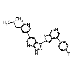 CN(C)Cc1cncc(-c2cnc3[nH]nc(-c4cc5c(-c6ccc(F)cc6)cncc5[nH]4)c3c2)c1